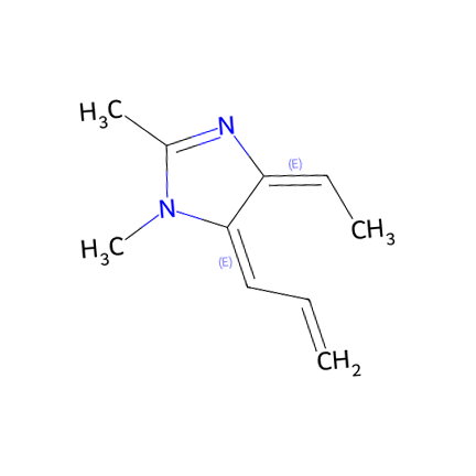 C=C/C=c1\c(=C/C)nc(C)n1C